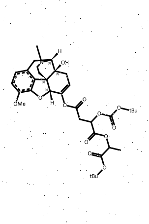 COc1ccc2c3c1O[C@H]1C(OC(=O)CC(OC(=O)OC(C)(C)C)C(=O)OC(C)C(=O)OC(C)(C)C)=CC[C@@]4(O)[C@@H](C2)N(C)CC[C@]314